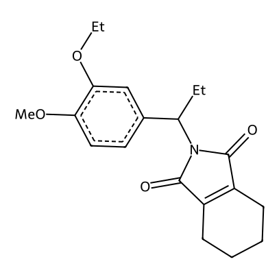 CCOc1cc(C(CC)N2C(=O)C3=C(CCCC3)C2=O)ccc1OC